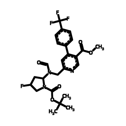 COC(=O)c1cnc(CN(C=O)C2CC(F)CN2C(=O)OC(C)(C)C)cc1-c1ccc(C(F)(F)F)cc1